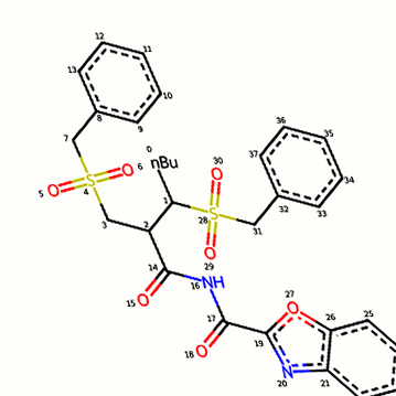 CCCCC(C(CS(=O)(=O)Cc1ccccc1)C(=O)NC(=O)c1nc2ccccc2o1)S(=O)(=O)Cc1ccccc1